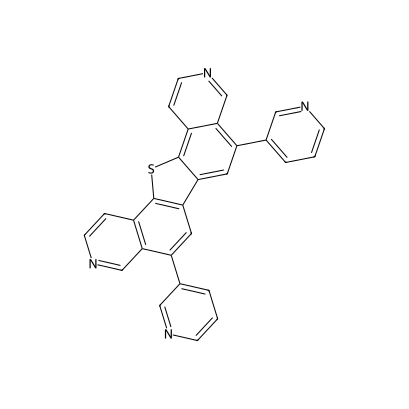 c1cncc(-c2cc3c4cc(-c5cccnc5)c5cnccc5c4sc3c3ccncc23)c1